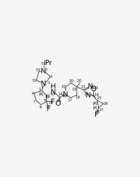 CC(C)N1CCN([C@@H]2CCCC(F)(F)[C@H]2NC(=O)N2CCC(C)(c3noc([C@H]4C[C@H]4F)n3)CC2)CC1